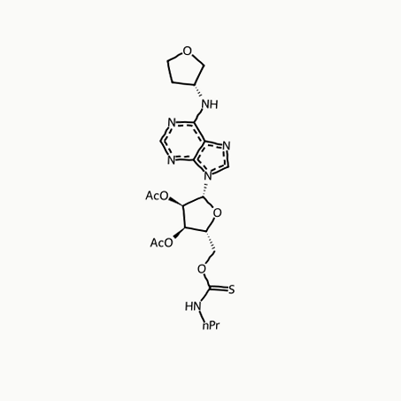 CCCNC(=S)OC[C@H]1O[C@@H](n2cnc3c(N[C@@H]4CCOC4)ncnc32)[C@H](OC(C)=O)[C@@H]1OC(C)=O